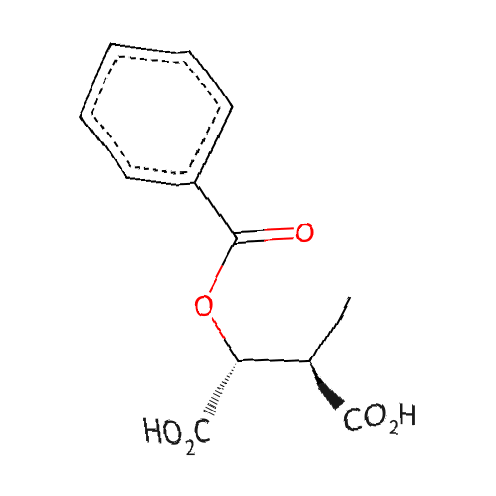 C[C@@H](C(=O)O)[C@@H](OC(=O)c1ccccc1)C(=O)O